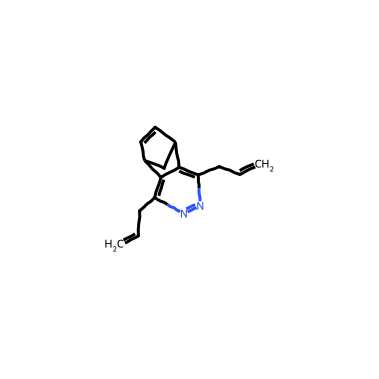 C=CCc1nnc(CC=C)c2c1C1C=CC2C1